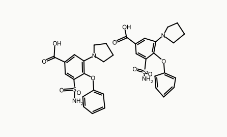 NS(=O)(=O)c1cc(C(=O)O)cc(N2CCCC2)c1Oc1ccccc1.NS(=O)(=O)c1cc(C(=O)O)cc(N2CCCC2)c1Oc1ccccc1